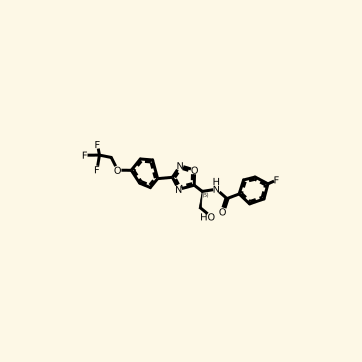 O=C(N[C@@H](CO)c1nc(-c2ccc(OCC(F)(F)F)cc2)no1)c1ccc(F)cc1